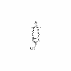 ClCc1cc2cc3sc(Br)cc3cc2s1